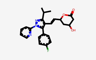 CC(C)c1nn(-c2ccccn2)c(-c2ccc(F)cc2)c1C=CC1CC(O)CC(=O)O1